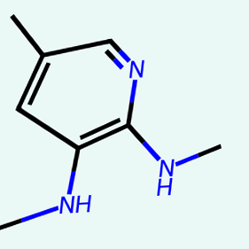 CNc1cc(C)cnc1NC